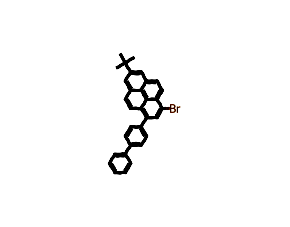 CC(C)(C)c1cc2ccc3c(Br)cc(-c4ccc(-c5ccccc5)cc4)c4ccc(c1)c2c34